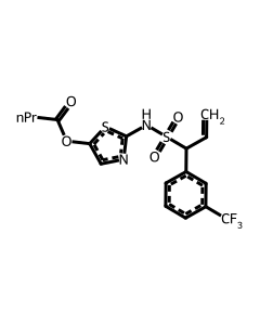 C=CC(c1cccc(C(F)(F)F)c1)S(=O)(=O)Nc1ncc(OC(=O)CCC)s1